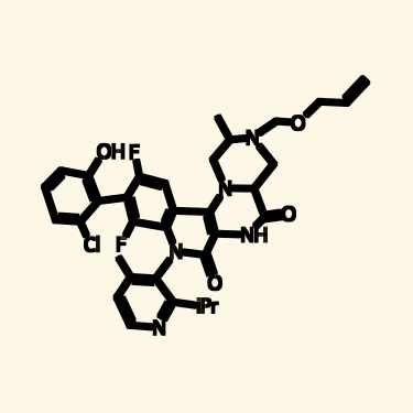 C=CCOCN1CC2C(=O)Nc3c(c4cc(F)c(-c5c(O)cccc5Cl)c(F)c4n(-c4c(C)ccnc4C(C)C)c3=O)N2CC1C